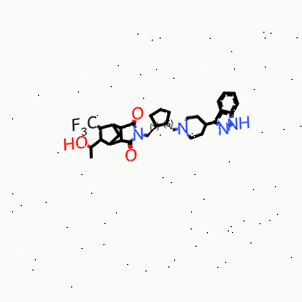 CC(O)C1C2CC(C3C(=O)N(C[C@H]4CCC[C@@H]4CN4CCC(c5n[nH]c6ccccc56)CC4)C(=O)C23)C1C(F)(F)F